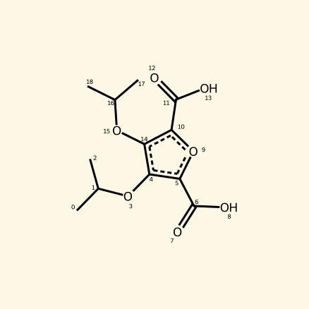 CC(C)Oc1c(C(=O)O)oc(C(=O)O)c1OC(C)C